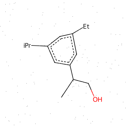 CCc1cc([C](C)CO)cc(C(C)C)c1